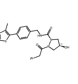 Cc1ncsc1-c1ccc(CNC(=O)N2C[C@@H](O)CN2C(=O)CC(C)C)cc1